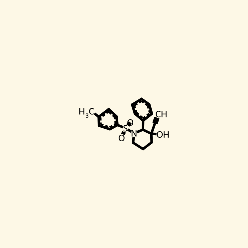 C#CC1(O)CCCN(S(=O)(=O)c2ccc(C)cc2)C1c1ccccc1